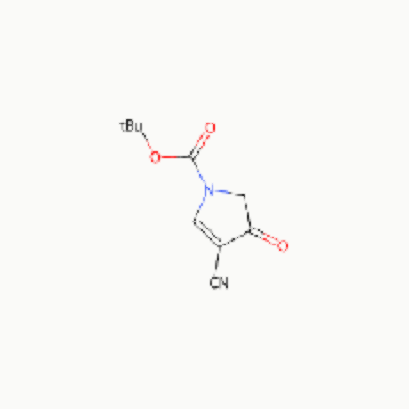 CC(C)(C)OC(=O)N1C=C(C#N)C(=O)C1